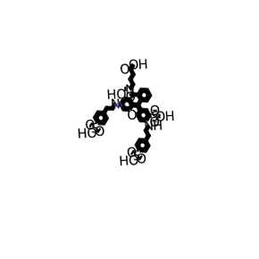 CN(CCCC(=O)O)C(=O)c1ccccc1-c1c2cc(O)/c(=N/CCc3ccc(S(=O)(=O)O)cc3)cc-2oc2cc(NCCc3ccc(S(=O)(=O)O)cc3)c(S(=O)(=O)O)cc12